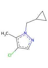 Cc1c(Cl)[c]nn1CC1CC1